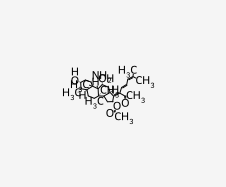 CC(=O)O[C@H]1C[C@@]2(C)[C@@H](C[C@@H](O)[C@H]3[C@@]4(C)[C@@H](N)C[C@@H](O)[C@@H](C)[C@@H]4CC[C@@]32C)/C1=C(\C=C\C=C(C)C)C(C)=O